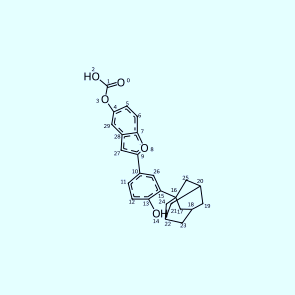 O=C(O)Oc1ccc2oc(-c3ccc(O)c(C45CC6CC(CC(C6)C4)C5)c3)cc2c1